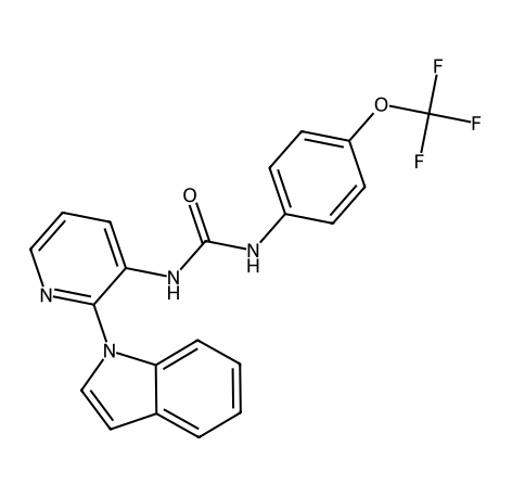 O=C(Nc1ccc(OC(F)(F)F)cc1)Nc1cccnc1-n1ccc2ccccc21